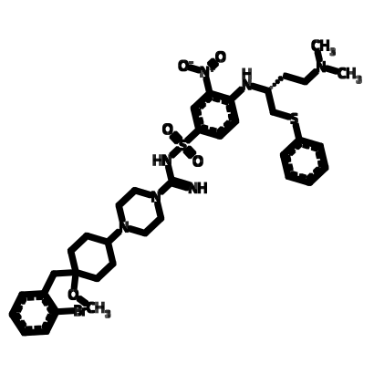 COC1(Cc2ccccc2Br)CCC(N2CCN(C(=N)NS(=O)(=O)c3ccc(N[C@H](CCN(C)C)CSc4ccccc4)c([N+](=O)[O-])c3)CC2)CC1